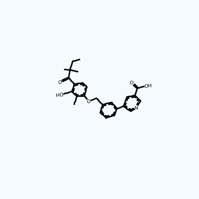 CCC(C)(C)C(=O)c1ccc(OCc2cccc(-c3cncc(C(=O)O)c3)c2)c(C)c1O